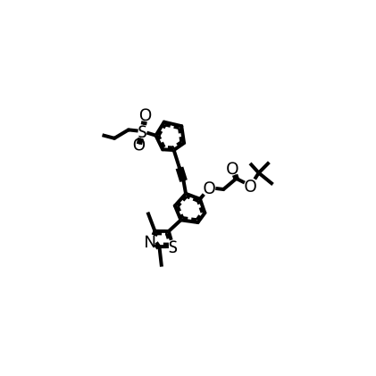 CCCS(=O)(=O)c1cccc(C#Cc2cc(-c3sc(C)nc3C)ccc2OCC(=O)OC(C)(C)C)c1